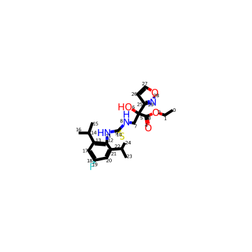 CCOC(=O)C(O)(CNC(=S)Nc1c(C(C)C)cc(F)cc1C(C)C)c1ccon1